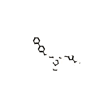 C=NC(=N)c1csc(CNC(=O)[C@@H]2CC3(CN2C(=O)CNC(=O)c2ccc(-c4ccc(F)cc4C(=O)O)cc2)OCCO3)c1